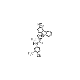 C[C@](O)(Cn1c2ccccc2c2cc([N+](=O)[O-])ccc21)C(=O)Nc1ccc(C#N)c(C(F)(F)F)c1